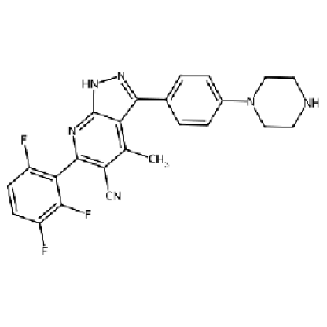 Cc1c(C#N)c(-c2c(F)ccc(F)c2F)nc2[nH]nc(-c3ccc(N4CCNCC4)cc3)c12